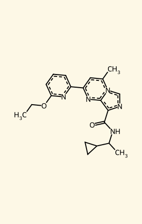 CCOc1cccc(-c2cc(C)n3cnc(C(=O)NC(C)C4CC4)c3n2)n1